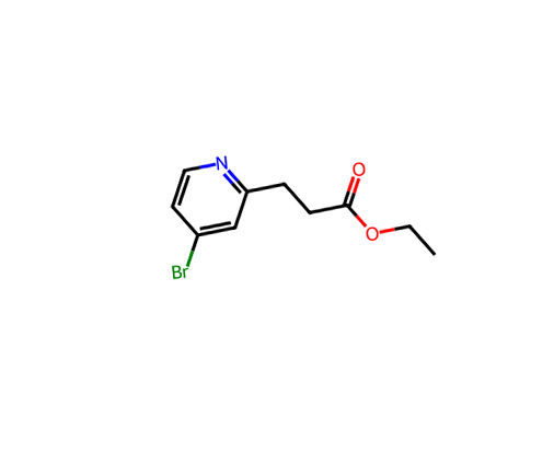 CCOC(=O)CCc1cc(Br)ccn1